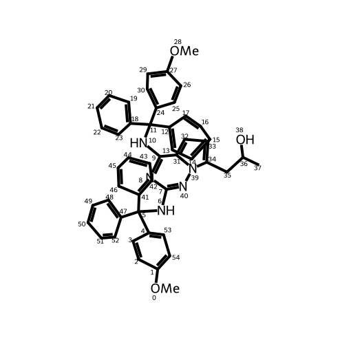 COc1ccc(C(Nc2nc(NC(c3ccccc3)(c3ccccc3)c3ccc(OC)cc3)c3ccc(CC(C)O)n3n2)(c2ccccc2)c2ccccc2)cc1